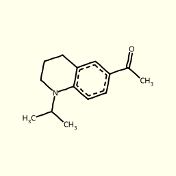 CC(=O)c1ccc2c(c1)CCCN2C(C)C